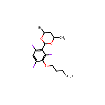 CCC1CC(C)OC(c2c(I)cc(I)c(OCCCS(=O)(=O)O)c2I)O1